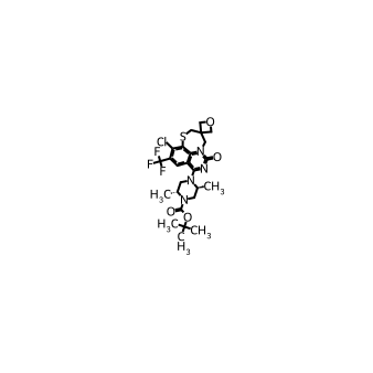 C[C@@H]1CN(c2nc(=O)n3c4c(c(Cl)c(C(F)(F)F)cc24)SCC2(COC2)C3)[C@@H](C)CN1C(=O)OC(C)(C)C